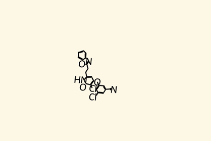 N#Cc1cc(Cl)cc(Oc2cc(CCc3nc4ccccc4o3)[nH]c(=O)c2Cl)c1